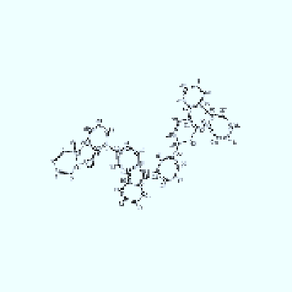 CC12C=CC=CC1Oc1c(-c3ccc4c(c3)c3ccccc3n4-c3cccc(C4C=Cc5c(c6ccccc6c6ccccc56)C4)c3)cccc12